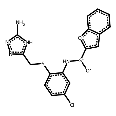 Nc1nnc(CSc2ccc(Cl)cc2N[S+]([O-])c2cc3ccccc3o2)[nH]1